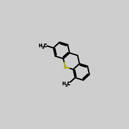 Cc1ccc2c(c1)Sc1c(C)cccc1C2